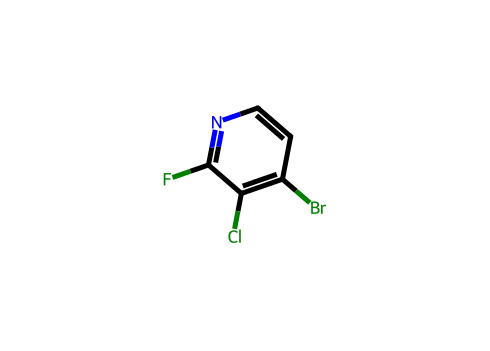 Fc1nccc(Br)c1Cl